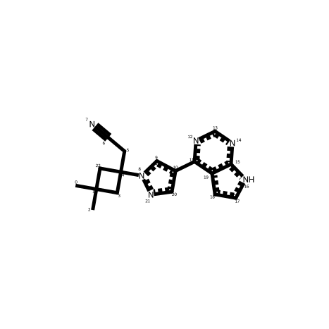 CC1(C)CC(CC#N)(n2cc(-c3ncnc4[nH]ccc34)cn2)C1